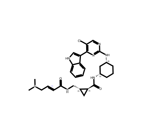 CN(C)C/C=C/C(=O)NC[C@H]1C[C@@H]1C(=O)N[C@H]1CCC[C@@H](Nc2ncc(Cl)c(-c3c[nH]c4ccccc34)n2)C1